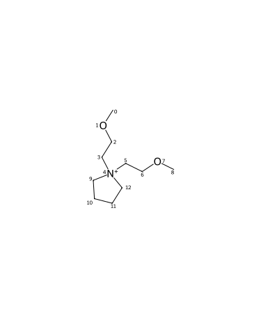 COCC[N+]1(CCOC)CCCC1